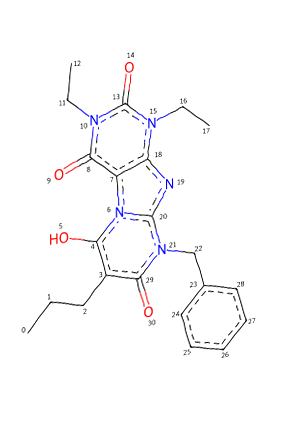 CCCc1c(O)n2c3c(=O)n(CC)c(=O)n(CC)c3nc2n(Cc2ccccc2)c1=O